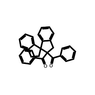 O=C(c1ccccc1)C1(C(=O)c2ccccc2)Cc2ccccc2C12CCc1ccccc12